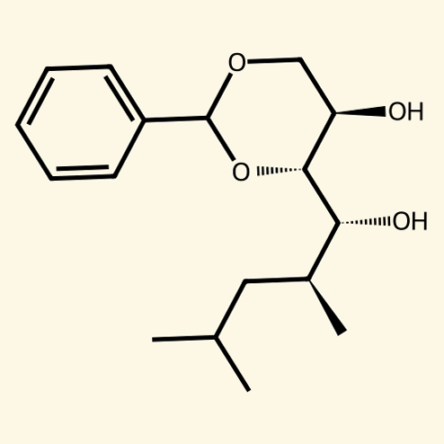 CC(C)C[C@H](C)[C@@H](O)[C@@H]1OC(c2ccccc2)OC[C@H]1O